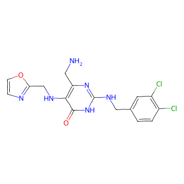 NCc1nc(NCc2ccc(Cl)c(Cl)c2)[nH]c(=O)c1NCc1ncco1